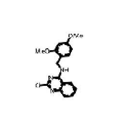 COc1ccc(CNc2nc(Cl)nc3ccccc23)c(OC)c1